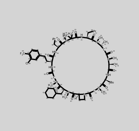 CCC(C)[C@@H]1NC(=O)[C@H](C)N(C)C(=O)C[C@@H](C)N(C)C(=O)[C@H](CC(C)C)NC(=O)C(C)(C)N(C)C(=O)[C@H](CC(C)C)NC(=O)[C@H](CCc2ccc(C(F)(F)F)c(Cl)c2)NC(=O)CN(C)C(=O)[C@H](CC2CCCCC2)N(C)C(=O)[C@@H]2CCN2C(=O)CN(C)C1=O